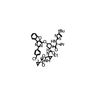 CC[C@@H]1C[C@]1(NC(=O)[C@@H]1C[C@@H](Oc2nc(-c3ccc(C(F)(F)F)cc3)nc3c2oc2ccccc23)CN1C(=O)[C@@H](Nc1nc(C(C)(C)C)cs1)C(C)C)C(=O)NS(=O)(=O)C1CC1